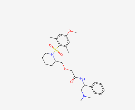 COc1cc(C)c(S(=O)(=O)N2CCCCC2COCC(=O)NC(CN(C)C)c2ccccc2)c(C)c1